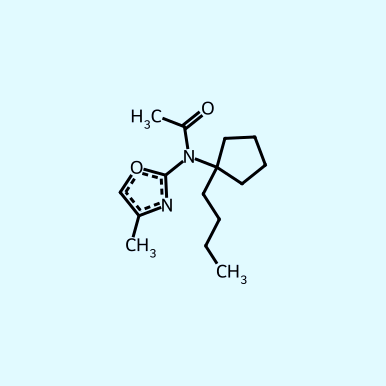 CCCCC1(N(C(C)=O)c2nc(C)co2)CCCC1